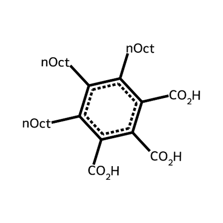 CCCCCCCCc1c(CCCCCCCC)c(C(=O)O)c(C(=O)O)c(C(=O)O)c1CCCCCCCC